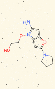 Nc1cc2oc(N3CCCC3)cc2n1OCCO